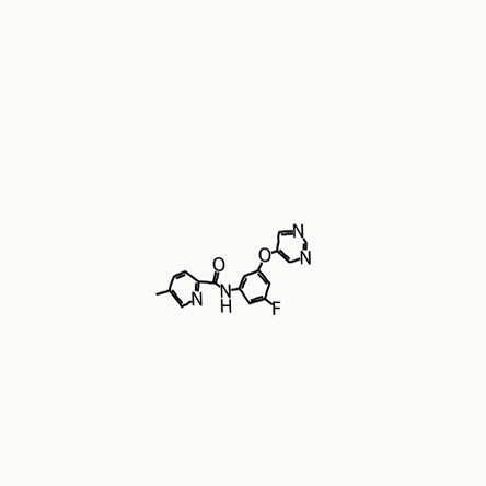 Cc1ccc(C(=O)Nc2cc(F)cc(Oc3cncnc3)c2)nc1